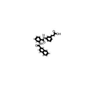 O=C(O)CCc1cccc(NC(=O)c2ccccc2NC(=O)c2ccc3ccccc3c2)c1